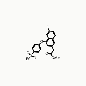 CCS(=O)(=O)c1ccc(Oc2cc(CC(=O)OC)cc3ccc(F)cc23)cc1